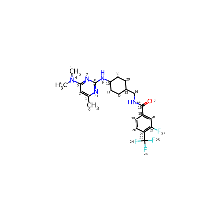 Cc1cc(N(C)C)nc(NC2CCC(CNC(=O)c3ccc(C(F)(F)F)c(F)c3)CC2)n1